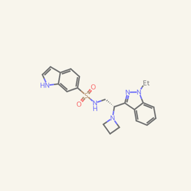 CCn1nc([C@@H](CNS(=O)(=O)c2ccc3cc[nH]c3c2)N2CCC2)c2ccccc21